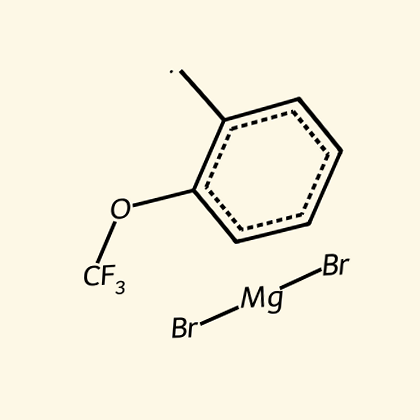 [Br][Mg][Br].[CH2]c1ccccc1OC(F)(F)F